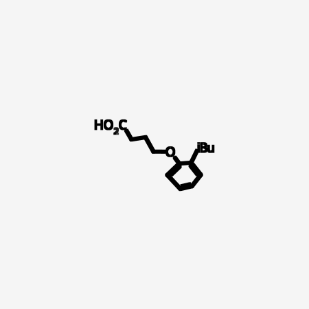 CCC(C)c1ccccc1OCCCC(=O)O